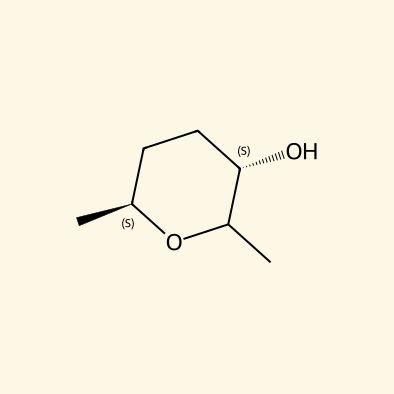 CC1O[C@@H](C)CC[C@@H]1O